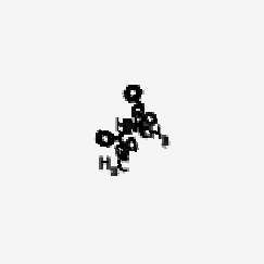 CCOC(=O)C(CCN[C@@H](C)C(=O)OCc1ccccc1)c1ccccc1